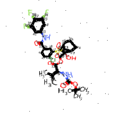 CC(C)[C@H](NC(=O)OC(C)(C)C)C(=O)OC[C@@]1(O)CC2CCC1[C@@H]2S(=O)(=O)c1cc(C(=O)Nc2cc(F)c(F)c(F)c2)ccc1Cl